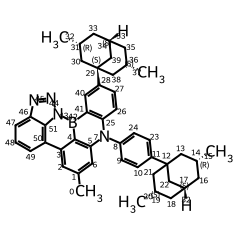 Cc1cc2c3c(c1)N(c1ccc(C45C[C@H](C)C[C@H](C[C@H](C)C4)C5)cc1)c1ccc([C@]45C[C@H](C)C[C@H](C[C@H](C)C4)C5)cc1B3n1nnc3cccc-2c31